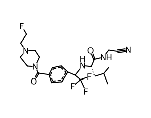 CC(C)C[C@H](NC(c1ccc(C(=O)N2CCN(CCF)CC2)cc1)C(F)(F)F)C(=O)NCC#N